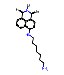 CCN1C(=[Se])c2cccc3c(NCCCCCCCN)ccc(c23)C1=[Se]